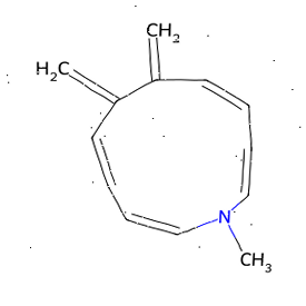 C=C1/C=C\C=C/N(C)/C=C\C=C/C1=C